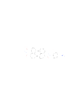 CCCCCCCCCCCCN1C(=O)c2ccc3c4ccc5c6c(ccc(c7ccc(c2c37)C1=O)c64)C(O)N(c1ccc(C#N)cc1)C5=O